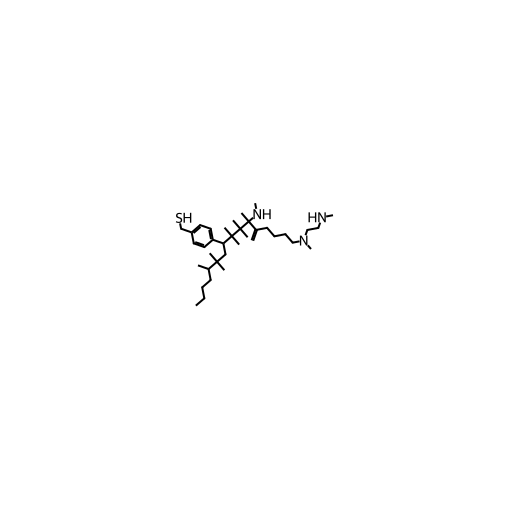 C=C(CCCCN(C)CCNC)C(C)(NC)C(C)(C)C(C)(C)C(CC(C)(C)C(C)CCCC)c1ccc(CS)cc1